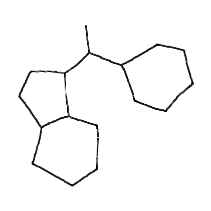 CC(C1CCCCC1)C1CCC2CCCCC21